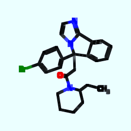 CCC1CCCCN1C(=O)CC1(c2ccc(Br)cc2)c2ccccc2-c2nccn21